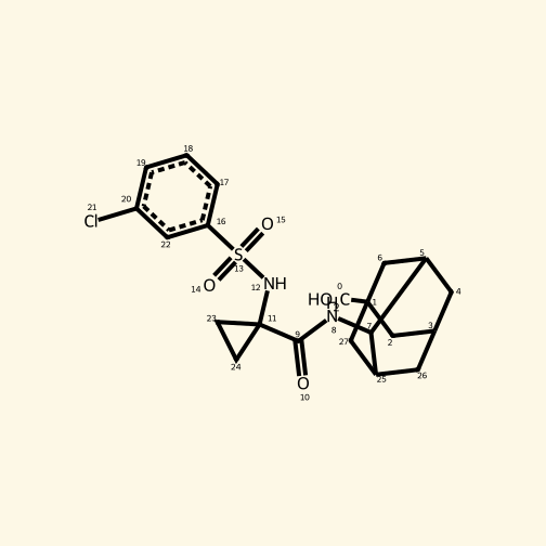 O=C(O)C12CC3CC(C1)C(NC(=O)C1(NS(=O)(=O)c4cccc(Cl)c4)CC1)C(C3)C2